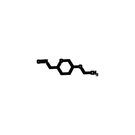 CCOC1CCC(CN=O)OC1